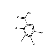 O=C(O)c1cc(F)c(Cl)c(I)c1Cl